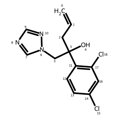 C=CCC(O)(Cn1cncn1)c1ccc(Cl)cc1Cl